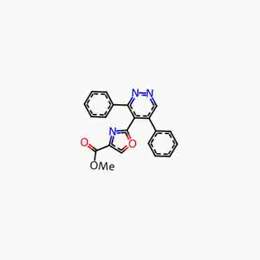 COC(=O)c1coc(-c2c(-c3ccccc3)cnnc2-c2ccccc2)n1